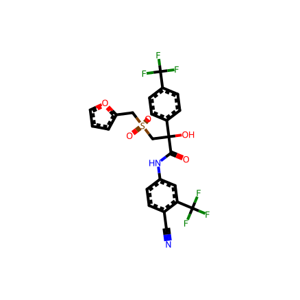 N#Cc1ccc(NC(=O)C(O)(CS(=O)(=O)Cc2ccco2)c2ccc(C(F)(F)F)cc2)cc1C(F)(F)F